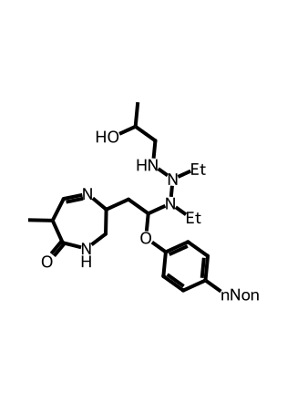 CCCCCCCCCc1ccc(OC(CC2CNC(=O)C(C)C=N2)N(CC)N(CC)NCC(C)O)cc1